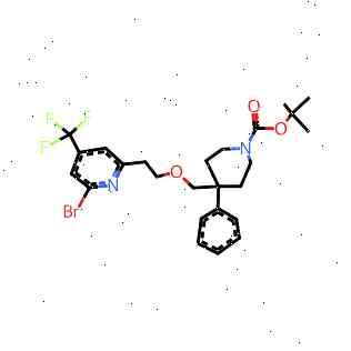 CC(C)(C)OC(=O)N1CCC(COCCc2cc(C(F)(F)F)cc(Br)n2)(c2ccccc2)CC1